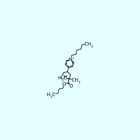 CCCCCC[n+]1ccc(C(CC)CC(C)(C)C(=O)OCCCC)cc1